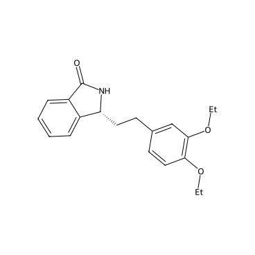 CCOc1ccc(CC[C@H]2NC(=O)c3ccccc32)cc1OCC